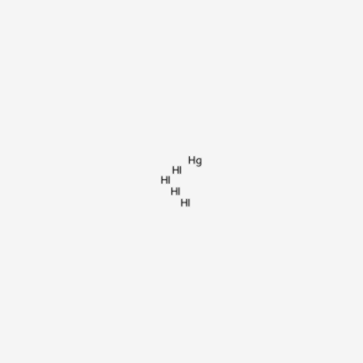 I.I.I.I.[Hg]